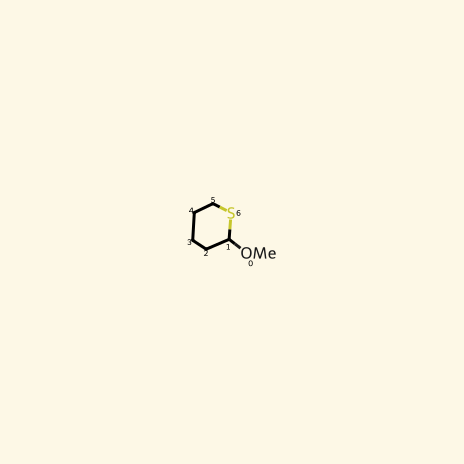 [CH2]OC1CCCCS1